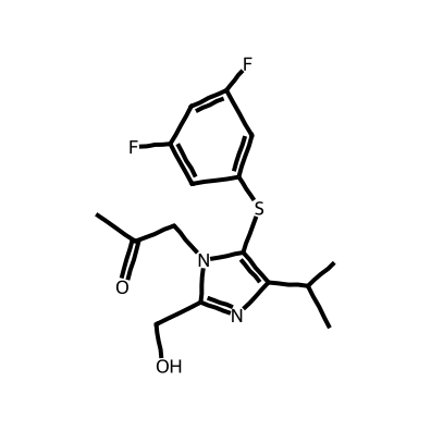 CC(=O)Cn1c(CO)nc(C(C)C)c1Sc1cc(F)cc(F)c1